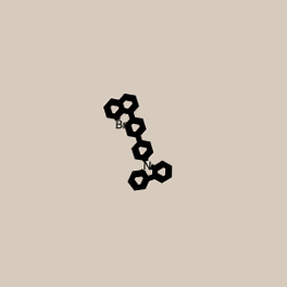 Brc1cccc2cccc(-c3ccc(-c4ccc(-n5c6ccccc6c6ccccc65)cc4)cc3)c12